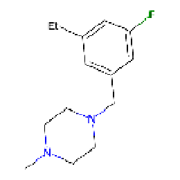 CCc1cc(F)cc(CN2CCN(C)CC2)c1